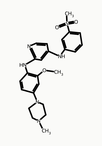 COc1cc(N2CCN(C)CC2)ccc1Nc1cc(Nc2cccc(S(C)(=O)=O)c2)ccn1